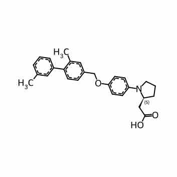 Cc1cccc(-c2ccc(COc3ccc(N4CCC[C@H]4CC(=O)O)cc3)cc2C)c1